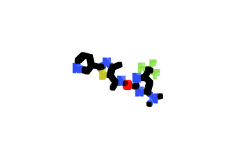 C/C(=N\Oc1nc(N(C)C)cc(C(F)(F)F)n1)c1sc(-c2cccnc2)nc1C